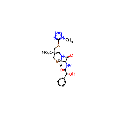 Cn1nnnc1SCC1(C(=O)O)CS[C@@H]2C(NC(=O)C(O)c3ccccc3)C(=O)N2C1